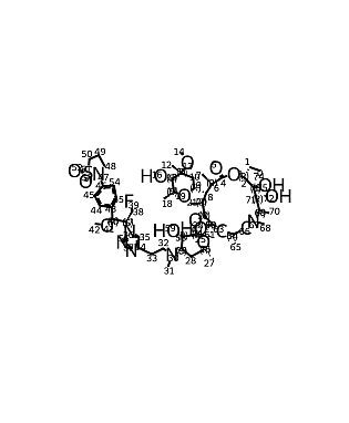 CC[C@H]1OC(=O)[C@H](C)C([C@H]2C[C@@](C)(OC)[C@@H](O)[C@H](C)O2)[C@H](C)[C@@H](O[C@@H]2O[C@H](C)C[C@H](N(C)CCc3cn([C@H](CF)[C@H](OC)c4ccc(N5CCCS5(=O)=O)cc4)nn3)[C@H]2O)[C@](C)(O)C[C@@H](C)CN(C)[C@H](C)[C@@H](O)[C@]1(C)O